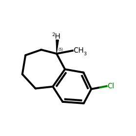 [2H][C@]1(C)CCCCc2ccc(Cl)cc21